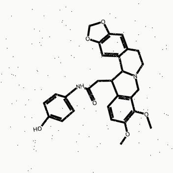 COc1ccc2c(c1OC)CN1CCc3cc4c(cc3C1C2CC(=O)Nc1ccc(O)cc1)OCO4